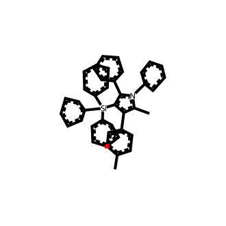 Cc1ccc(-c2c([Si](c3ccccc3)(c3ccccc3)c3ccccc3)c(-c3ccccc3)n(-c3ccccc3)c2C)cc1